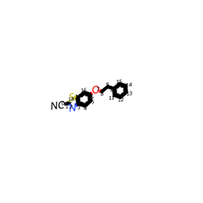 N#Cc1nc2ccc(OCCc3ccccc3)cc2s1